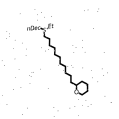 CCCCCCCCCC[S+](CC)CCCCCCCCCCCC1CCCCO1